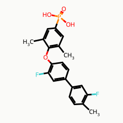 Cc1ccc(-c2ccc(Oc3c(C)cc(P(=O)(O)O)cc3C)c(F)c2)cc1F